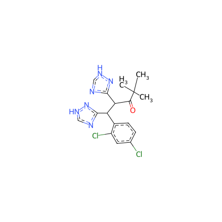 CC(C)(C)C(=O)C(c1nc[nH]n1)C(c1nc[nH]n1)c1ccc(Cl)cc1Cl